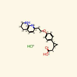 Cl.O=C(O)CC1CC1c1ccc(OCCc2ccc3c(n2)NCCC3)cc1